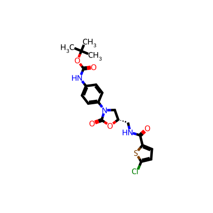 CC(C)(C)OC(=O)Nc1ccc(N2C[C@H](CNC(=O)c3ccc(Cl)s3)OC2=O)cc1